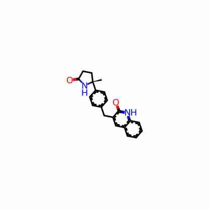 C[C@]1(c2ccc(Cc3cc4ccccc4[nH]c3=O)cc2)CCC(=O)N1